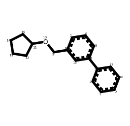 c1ccc(-c2cccc(COC3CCCC3)c2)cc1